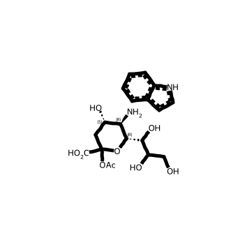 CC(=O)OC1(C(=O)O)C[C@H](O)[C@@H](N)[C@H](C(O)C(O)CO)O1.c1ccc2[nH]ccc2c1